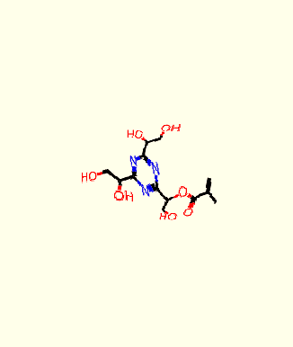 C=C(C)C(=O)OC(CO)c1nc(C(O)CO)nc(C(O)CO)n1